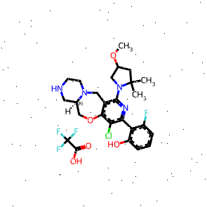 COC1CN(c2nc(-c3c(O)cccc3F)c(Cl)c3c2CN2CCNC[C@@H]2CO3)C(C)(C)C1.O=C(O)C(F)(F)F